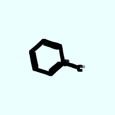 [CH2-][n+]1ccccc1